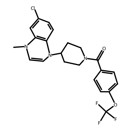 CN1C=CN(C2CCN(C(=O)c3ccc(OC(F)(F)F)cc3)CC2)c2ccc(Cl)cc21